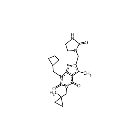 Cc1c(CN2CCNC2=O)sc2c1c(=O)n(CC1(C)CC1)c(=O)n2CC1CCC1